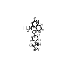 Cc1cc(N)c2c(O[C@H]3CC[C@H](NC(=O)C(C)C)CC3)cccc2n1